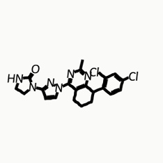 Cc1nc2c(c(-n3ccc(N4CCNC4=O)n3)n1)CCCC2c1ccc(Cl)cc1Cl